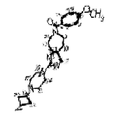 COc1ccc(C(=O)N2CCc3cnc(N4CCN(C5CCC5)CC4)nc3CC2)cc1